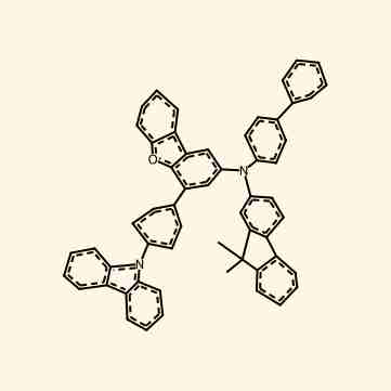 CC1(C)c2ccccc2-c2ccc(N(c3ccc(-c4ccccc4)cc3)c3cc(-c4ccc(-n5c6ccccc6c6ccccc65)cc4)c4oc5ccccc5c4c3)cc21